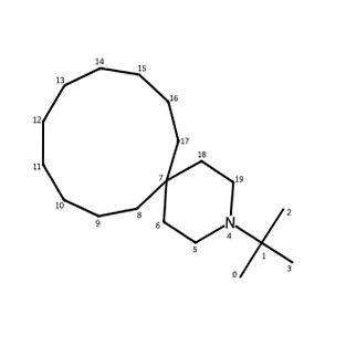 CC(C)(C)N1CCC2(CCCCCCCCCC2)CC1